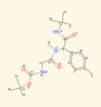 Cc1ccc(C(C(=O)NC(C)(C)C)N(C)C(=O)CNC(=O)OC(C)(C)C)cc1